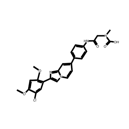 COc1cc(OC)c(-c2cn3ccc(-c4ccc(NC(=O)CN(C)C(=O)O)cc4)cc3n2)cc1Cl